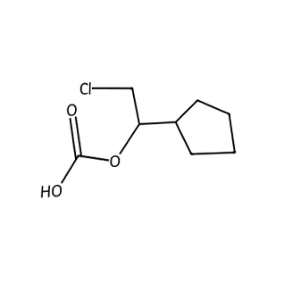 O=C(O)OC(CCl)C1CCCC1